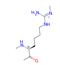 C/N=C(\N)NCCCC[C@H](NC)C(C)=O